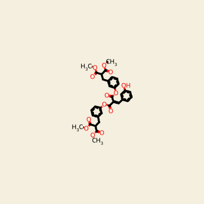 COC(=O)C(Cc1cccc(OC(=O)C(=Cc2cccc(O)c2)C(=O)Oc2cccc(CC(C(=O)OC)C(=O)OC)c2)c1)C(=O)OC